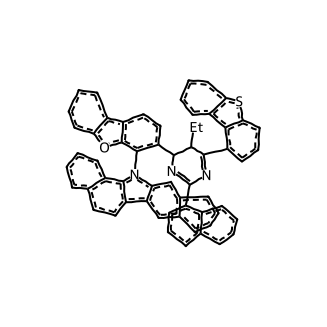 CCC1C(c2cccc3sc4ccccc4c23)=NC(c2cccc3ccccc23)=NC1c1ccc2c(oc3ccccc32)c1-n1c2cc3ccccc3cc2c2ccc3ccccc3c21